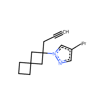 C#CCC1(n2cc(C(C)C)cn2)CC2(CCC2)C1